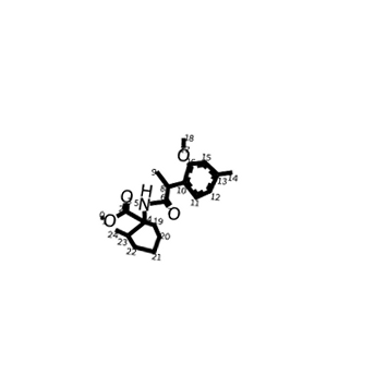 COC(=O)C1(NC(=O)C(C)c2ccc(C)cc2OC)CCCCC1C